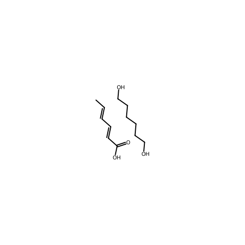 C/C=C/C=C/C(=O)O.OCCCCCCO